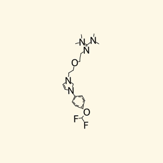 CN(C)C(=NCCOCCN1C=CN(c2ccc(OC(F)F)cc2)C1)N(C)C